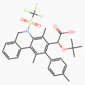 Cc1ccc(-c2c(C)c3c(c(C)c2[C@H](OC(C)(C)C)C(=O)O)N(S(=O)(=O)C(F)(F)F)Cc2ccccc2-3)cc1